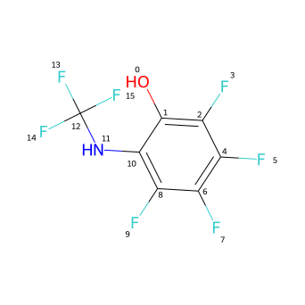 Oc1c(F)c(F)c(F)c(F)c1NC(F)(F)F